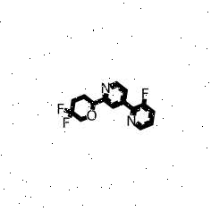 Fc1cccnc1-c1ccnc(C2CCC(F)(F)CO2)c1